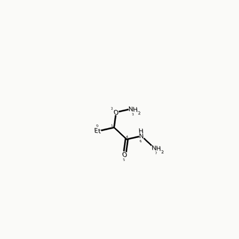 CCC(ON)C(=O)NN